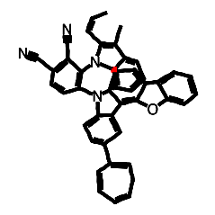 C/C=C\c1c(C)c2ccccc2n1-c1c(-n2c3ccc(C4=CCC=CC=C4)cc3c3c4oc5ccccc5c4ccc32)ccc(C#N)c1C#N